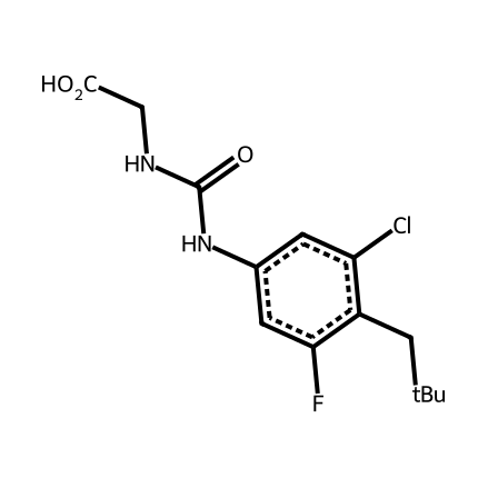 CC(C)(C)Cc1c(F)cc(NC(=O)NCC(=O)O)cc1Cl